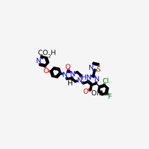 COC(=O)C1=C(CN2CCN3C(=O)N(c4ccc(Oc5ccc(C(=O)O)nc5)cc4)C[C@@H]3C2)NC(c2nccs2)=N[C@H]1c1ccc(F)cc1Cl